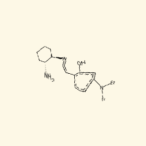 CCN(CC)c1ccc(/C=N/[C@@H]2CCCC[C@H]2N)c(O)c1